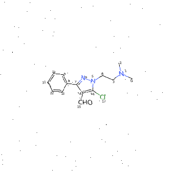 CN(C)CCn1nc(-c2ccccc2)c(C=O)c1Cl